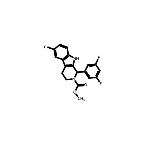 COC(=O)N1CCc2c([nH]c3ccc(Cl)cc23)C1c1cc(F)cc(F)c1